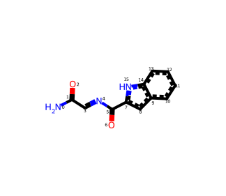 NC(=O)C=NC(=O)c1cc2ccccc2[nH]1